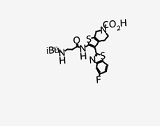 CC[C@H](C)NCCC(=O)Nc1sc2c(c1-c1nc3cc(F)ccc3s1)CCN(C(=O)O)C2